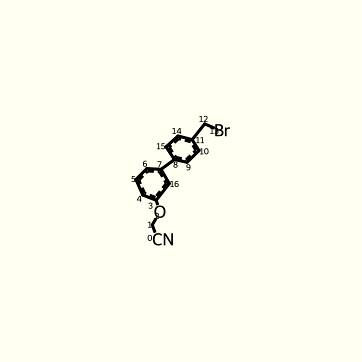 N#CCOc1cccc(-c2ccc(CBr)cc2)c1